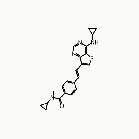 O=C(NC1CC1)c1ccc(C=Cc2csc3c(NC4CC4)ncnc23)cc1